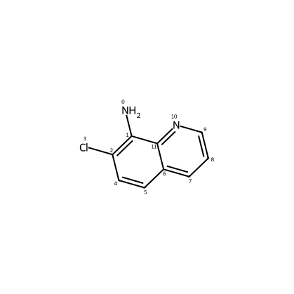 Nc1c(Cl)ccc2cccnc12